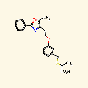 Cc1oc(-c2ccccc2)nc1CCOc1cccc(CSC(C)C(=O)O)c1